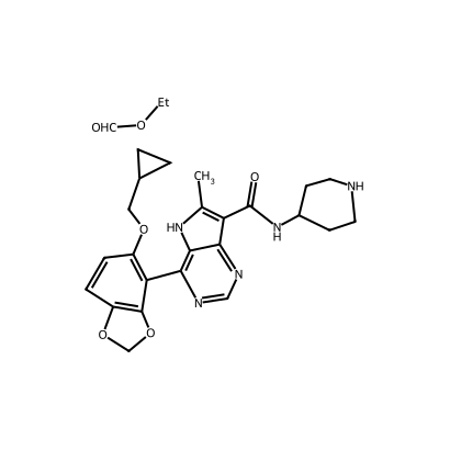 CCOC=O.Cc1[nH]c2c(-c3c(OCC4CC4)ccc4c3OCO4)ncnc2c1C(=O)NC1CCNCC1